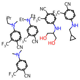 CC(C)CN(C)c1ccc(C#N)c(C(F)(F)F)c1.CCN(CC)c1ccc(C#N)c(C(F)(F)F)c1.CN(C)c1ccc(C#N)c(C(F)(F)F)c1.N#Cc1ccc(NC(CO)CO)cc1C(F)(F)F.N#Cc1ccc(NCC2CC2)cc1C(F)(F)F